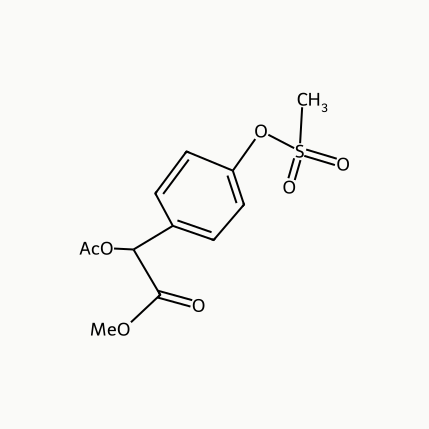 COC(=O)C(OC(C)=O)c1ccc(OS(C)(=O)=O)cc1